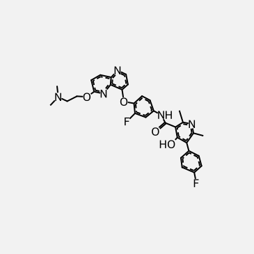 Cc1nc(C)c(-c2ccc(F)cc2)c(O)c1C(=O)Nc1ccc(Oc2ccnc3ccc(OCCN(C)C)nc23)c(F)c1